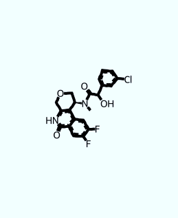 CN(C(=O)C(O)c1cccc(Cl)c1)[C@@H]1COCc2[nH]c(=O)c3cc(F)c(F)cc3c21